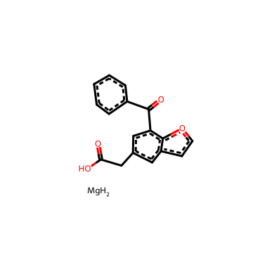 O=C(O)Cc1cc(C(=O)c2ccccc2)c2occc2c1.[MgH2]